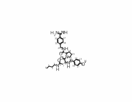 CCCCNC(=O)C[C@@H](NSc1ccc(OC)cc1)C(=O)N1CCC[C@H]1C(=O)NCc1ccc(C(=N)N)cc1